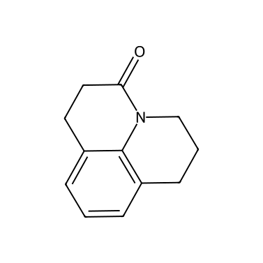 O=C1CCc2cccc3c2N1CCC3